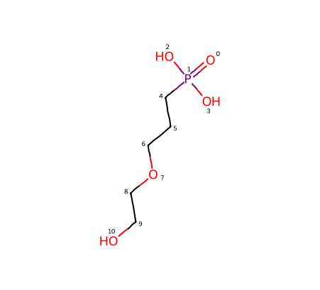 O=P(O)(O)CCCOCCO